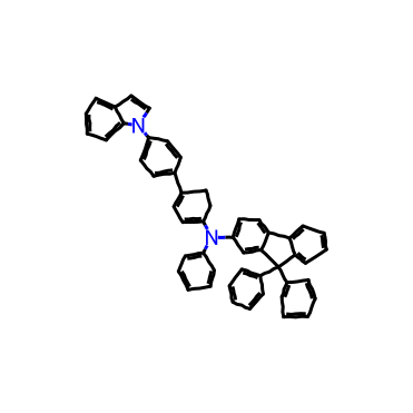 C1=C(c2ccc(-n3ccc4ccccc43)cc2)CCC(N(c2ccccc2)c2ccc3c(c2)C(c2ccccc2)(c2ccccc2)c2ccccc2-3)=C1